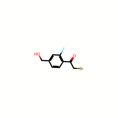 O=C(CBr)c1ccc(CO)cc1F